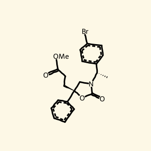 COC(=O)CC[C@@]1(c2ccccc2)CN([C@@H](C)c2ccc(Br)cc2)C(=O)O1